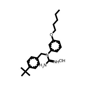 CCCCCOc1cccc(N(Cc2ccc(C(C)(C)C)cc2)C(=N)N)c1.Cl